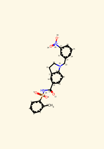 Cc1ccccc1S(=O)(=O)NC(=O)c1ccc2c(c1)CCN2Cc1cccc([N+](=O)[O-])c1